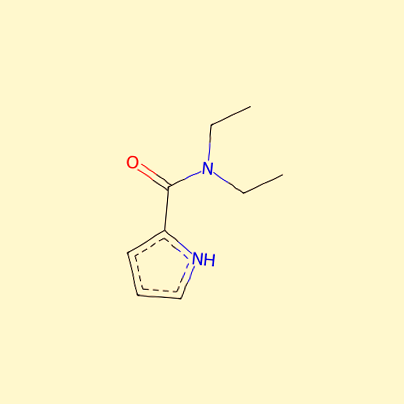 CCN(CC)C(=O)c1ccc[nH]1